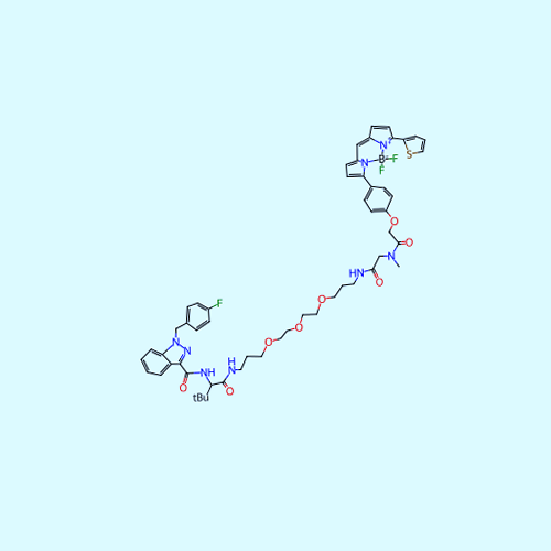 CN(CC(=O)NCCCOCCOCCOCCCNC(=O)C(NC(=O)c1nn(Cc2ccc(F)cc2)c2ccccc12)C(C)(C)C)C(=O)COc1ccc(-c2ccc3n2[B-](F)(F)[N+]2=C(c4cccs4)C=CC2=C3)cc1